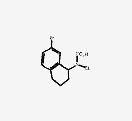 CCN(C(=O)O)C1CCCc2ccc(Br)cc21